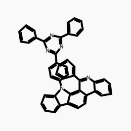 c1ccc(-c2nc(-c3ccccc3)nc(-c3ccc(-n4c5ccccc5c5ccc6c7ccccc7nc(-c7ccccc7)c6c54)cc3)n2)cc1